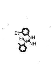 CCc1cccc(NC(=N)N(CC)c2ccccc2I)c1